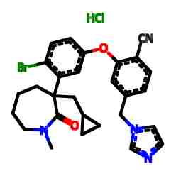 CN1CCCCC(CC2CC2)(c2cc(Oc3cc(Cn4ccnc4)ccc3C#N)ccc2Br)C1=O.Cl